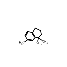 Cc1ccc2c(c1)C(C)(C)CCC2